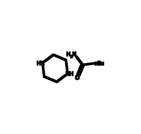 C1CNCCN1.CCCCC(N)=O